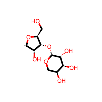 OC[C@@H]1O[CH][C@H](O)[C@H]1O[C@H]1OC[C@H](O)[C@H](O)[C@H]1O